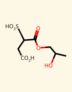 CC(O)COC(=O)C(CC(=O)O)S(=O)(=O)O